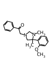 COc1ccccc1C1(C)CN(CC(=O)c2ccccc2)CN1C